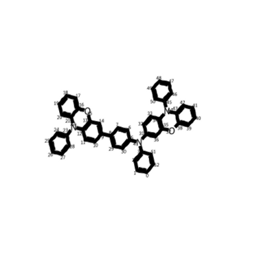 c1ccc(N(c2ccc(-c3ccc4c(c3)Oc3ccccc3N4c3ccccc3)cc2)c2ccc3c(c2)Oc2ccccc2N3c2ccccc2)cc1